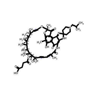 C/C1=C/C=C/[C@H](C)[C@H](OC(=O)CCC(=O)O)[C@@H](C)[C@@H](O)[C@@H](C)[C@H](C)[C@H](C)[C@@H](C)/C=C/O[C@@]2(C)Oc3c(C)c(O)c4c(c3C2=O)C2=NC3(CCN(CC(C)C)CC3)NC2=C(NC1=O)C4=O